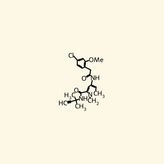 C#CC(C)(C)NC(=O)/C(=C/C(=C\C)NC(=O)Cc1ccc(Cl)cc1OC)N=C